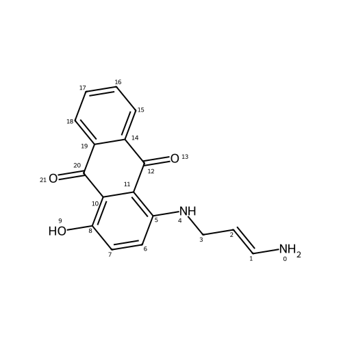 NC=CCNc1ccc(O)c2c1C(=O)c1ccccc1C2=O